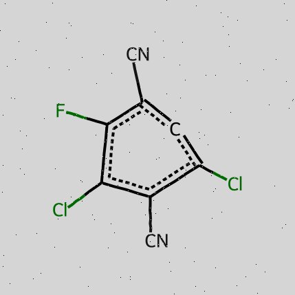 N#Cc1cc(Cl)c(C#N)c(Cl)c1F